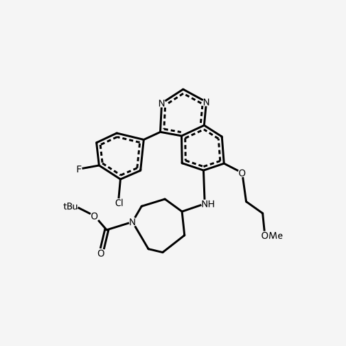 COCCOc1cc2ncnc(-c3ccc(F)c(Cl)c3)c2cc1NC1CCCN(C(=O)OC(C)(C)C)CC1